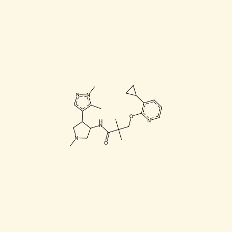 Cc1c(C2CN(C)CC2NC(=O)C(C)(C)COc2ncccc2C2CC2)cnn1C